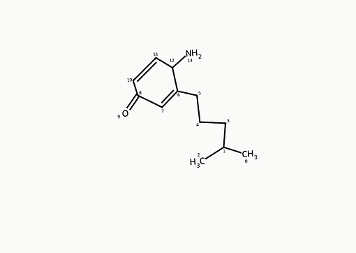 CC(C)CCCC1=CC(=O)C=CC1N